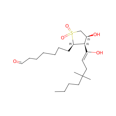 CCCCC(C)(C)CC=C(O)[C@@H]1[C@H](O)CS(=O)(=O)[C@@H]1CCCCCCC=O